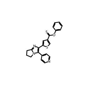 S=C(Oc1ccccc1)c1csc(-c2nc3n(c2-c2ccncc2)CCC3)c1